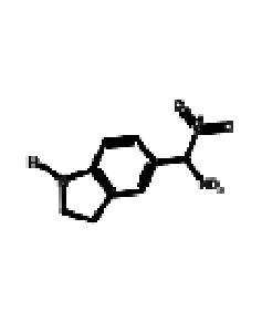 CCN1CCc2cc(C([N+](=O)[O-])[SH](=O)=O)ccc21